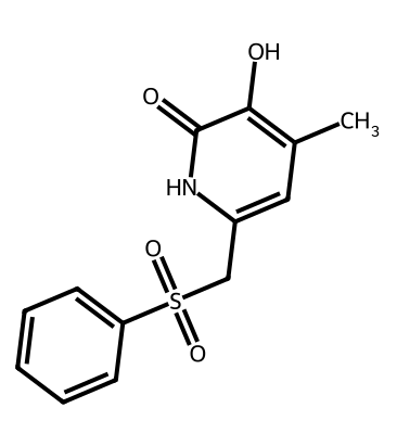 Cc1cc(CS(=O)(=O)c2ccccc2)[nH]c(=O)c1O